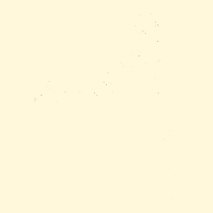 CCCCCCCCCCCCCCCCCCOCC(C[S+]([O-])CCOCCN1CCN(CCCCCC(=O)O)C1)Oc1ncccn1